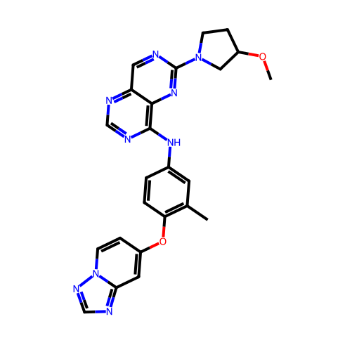 COC1CCN(c2ncc3ncnc(Nc4ccc(Oc5ccn6ncnc6c5)c(C)c4)c3n2)C1